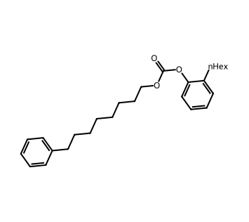 CCCCCCc1ccccc1OC(=O)OCCCCCCCCc1ccccc1